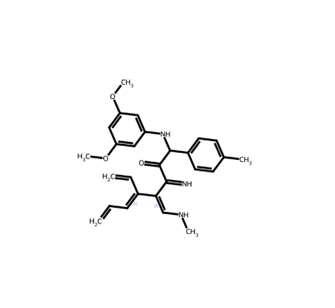 C=C/C=C(C=C)/C(=C/NC)C(=N)C(=O)C(Nc1cc(OC)cc(OC)c1)c1ccc(C)cc1